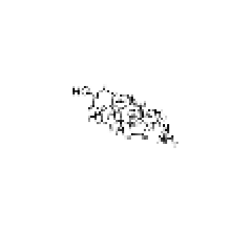 C[C@]12CC[C@H](O)C[C@H]1CC[C@@H]1[C@@H]2CC[C@]2(C)[C@@H](/C=N\N)CC[C@]12O